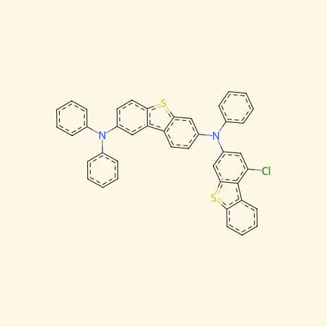 Clc1cc(N(c2ccccc2)c2ccc3c(c2)sc2ccc(N(c4ccccc4)c4ccccc4)cc23)cc2sc3ccccc3c12